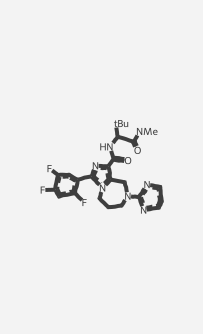 CNC(=O)C(NC(=O)c1nc(-c2cc(F)c(F)cc2F)n2c1CN(c1ncccn1)CCC2)C(C)(C)C